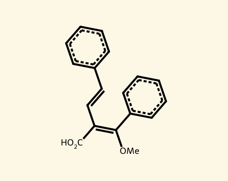 COC(=C(C=Cc1ccccc1)C(=O)O)c1ccccc1